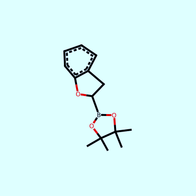 CC1(C)OB(C2Cc3ccccc3O2)OC1(C)C